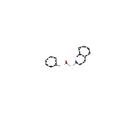 O=C(Nc1ccc2ccccc2n1)Oc1ccccc1